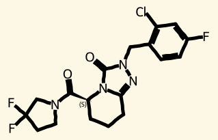 O=C([C@@H]1CCCc2nn(Cc3ccc(F)cc3Cl)c(=O)n21)N1CCC(F)(F)C1